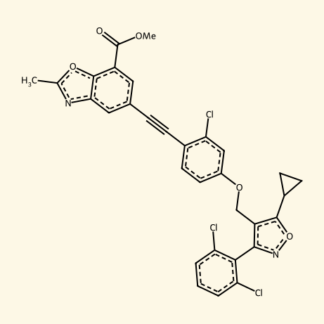 COC(=O)c1cc(C#Cc2ccc(OCc3c(-c4c(Cl)cccc4Cl)noc3C3CC3)cc2Cl)cc2nc(C)oc12